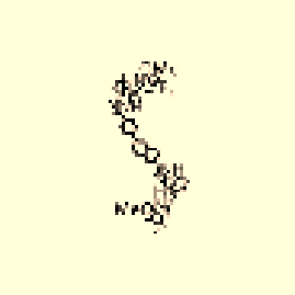 COC(=O)N[C@H](CON1CCC[C@H]1c1ncc(-c2ccc3cc(-c4ccc(-c5cnc([C@@H]6CCCN6C(=O)[C@H](CC(F)(F)F)NC(=O)OC)[nH]5)cc4)ccc3c2)[nH]1)CC(F)(F)F